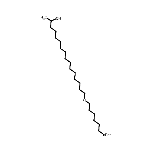 CCCCCCCCCCCCCCCCOCCCCCCCCCCCCCCC(C)O